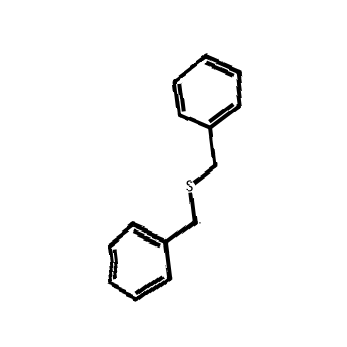 [CH](SCc1ccccc1)c1ccccc1